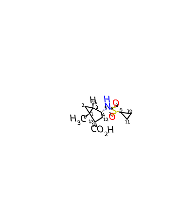 C[C@@]12C[C@@H]1[C@H](NS(=O)(=O)C1CC1)C[C@@H]2C(=O)O